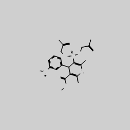 C=C(C)COP(=O)(OCC(=C)C)C1=C(C)NC(C)=C(C(=O)OC)C1c1cccc([N+](=O)[O-])c1